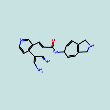 N=C/C(=C\N)c1ccncc1/C=C/C(=O)NC1C=CC2=C(C=C1)CNC2